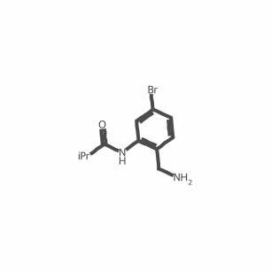 CC(C)C(=O)Nc1cc(Br)ccc1CN